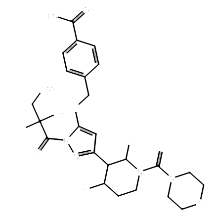 COCC(C)(C)C(=O)n1nc(C2C(C)CCN(C(=O)N3CCOCC3)C2C(=O)O)cc1OCc1ccc(C(=N)N)cc1